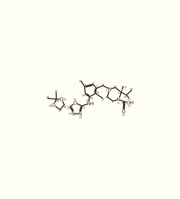 Cc1cc(CN2CCN(C(=O)O)[C@@](C)(C(C)C)C2)c(C)c(Nc2nnc([C@@H]3COC(C)(C)O3)o2)c1